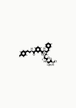 CCNC(=O)[C@@H](NC(=O)[C@H](C)NC[C@H](Cc1ccccc1)NC(=O)c1cccc(C(=O)NCCc2ccc(C)cc2)c1)C(C)C